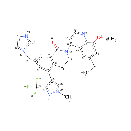 CCc1cc(OC)c2nccc(N3CCc4c(cc(Cn5ccnc5)cc4-c4cn(C)nc4C(F)(F)F)C3=O)c2c1